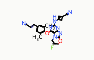 Cc1cc(/C=C/C#N)cc(C)c1Oc1nc(NC23CC(C#N)(C2)C3)nc2nc3n(c12)C[C@@H](F)CO3